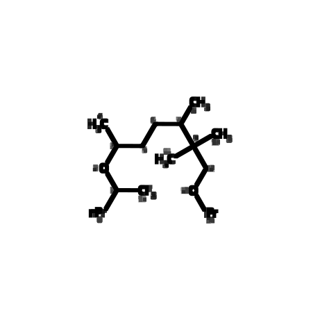 CCCC(OC(C)CCC(C)C(C)(C)COC(C)C)C(F)(F)F